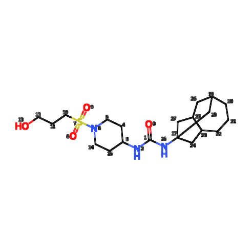 O=C(NC1CCN(S(=O)(=O)CCCO)CC1)NC12CC3CCCC(C1)C(C3)C2